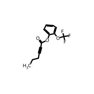 CCCC#CC(=O)Oc1ccccc1OC(F)(F)F